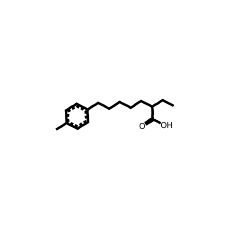 CCC(CCCCCc1ccc(C)cc1)C(=O)O